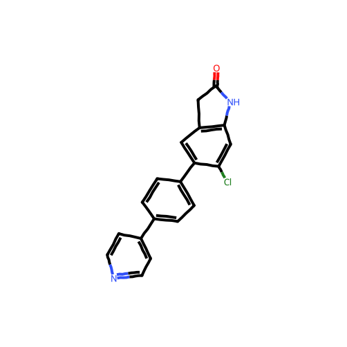 O=C1Cc2cc(-c3ccc(-c4ccncc4)cc3)c(Cl)cc2N1